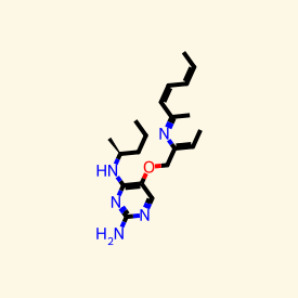 C\C=C/C=C\C(C)=N\C(=C/C)COc1cnc(N)nc1N[C@@H](C)CCC